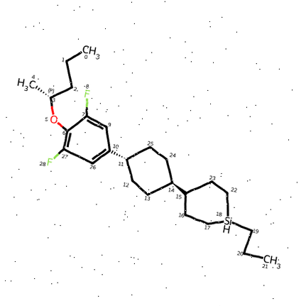 CCC[C@@H](C)Oc1c(F)cc([C@H]2CC[C@H](C3CC[SiH](CCC)CC3)CC2)cc1F